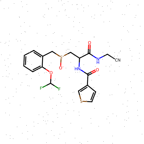 N#CCNC(=O)C(C[S+]([O-])Cc1ccccc1OC(F)F)NC(=O)c1ccsc1